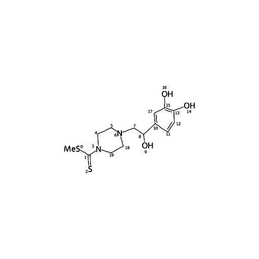 CSC(=S)N1CCN(CC(O)c2ccc(O)c(O)c2)CC1